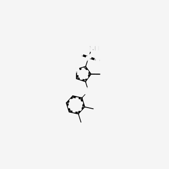 Cc1cccc(Oc2csc(S(N)(=O)=O)c2C)c1C